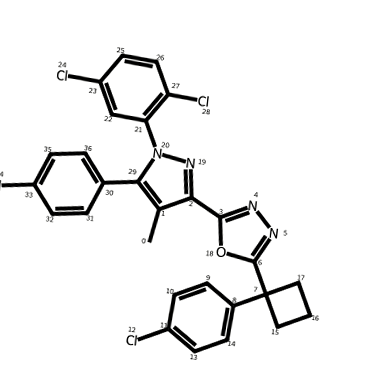 Cc1c(-c2nnc(C3(c4ccc(Cl)cc4)CCC3)o2)nn(-c2cc(Cl)ccc2Cl)c1-c1ccc(Cl)cc1